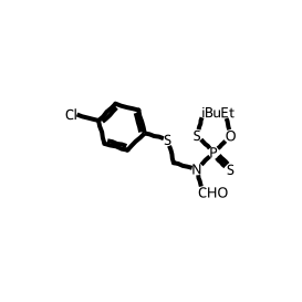 CCOP(=S)(SC(C)CC)N(C=O)CSc1ccc(Cl)cc1